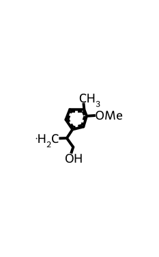 [CH2]C(CO)c1ccc(C)c(OC)c1